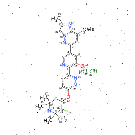 COc1cc(-c2cnc(-c3ccc(O[C@@H]4CC(C)(C)NC(C)(C)[C@@H]4F)nn3)c(O)c2)nn2cc(C)nc12.Cl.Cl